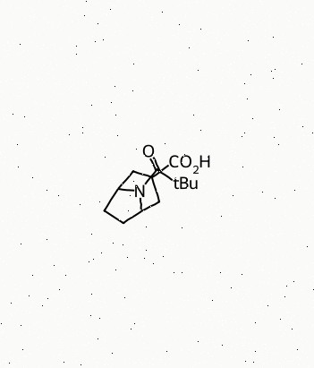 CC(C)(C)C(=O)N1C2CCC1CC(C(=O)O)C2